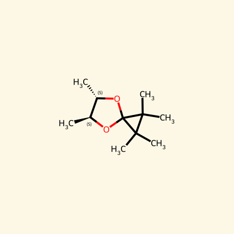 C[C@@H]1OC2(O[C@H]1C)C(C)(C)C2(C)C